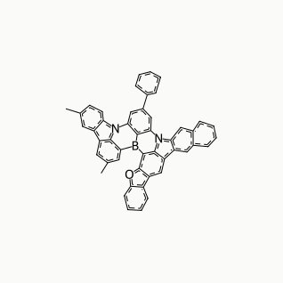 Cc1ccc2c(c1)c1cc(C)cc3c1n2-c1cc(-c2ccccc2)cc2c1B3c1c3oc4ccccc4c3cc3c4cc5ccccc5cc4n-2c13